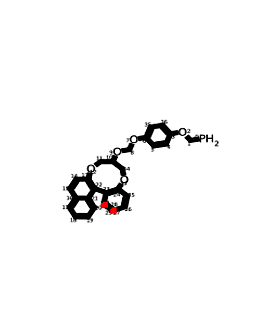 PCOc1ccc(OCOC2COc3ccc4ccccc4c3-c3c(ccc4ccccc34)OC2)cc1